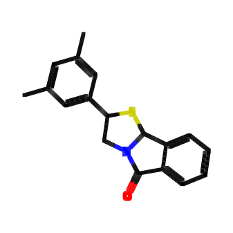 Cc1cc(C)cc(C2CN3C(=O)c4ccccc4C3S2)c1